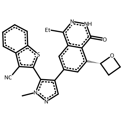 CCc1n[nH]c(=O)c2c([C@H]3CCO3)cc(-c3cnn(C)c3-c3sc4ccccc4c3C#N)cc12